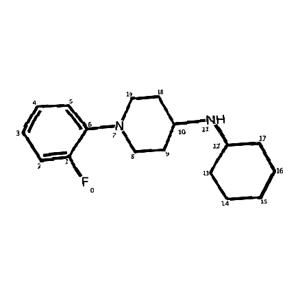 Fc1ccccc1N1CCC(NC2CCCCC2)CC1